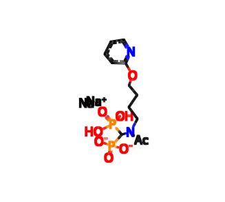 CC(=O)N(CCCCOc1ccccn1)C(P(=O)([O-])[O-])P(=O)(O)O.[Na+].[Na+]